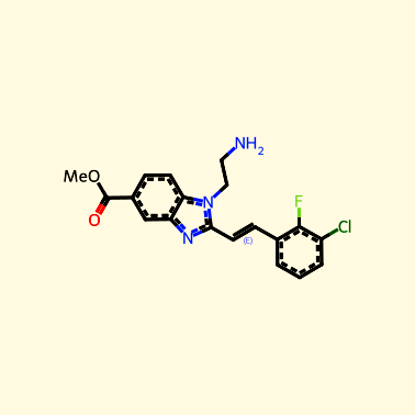 COC(=O)c1ccc2c(c1)nc(/C=C/c1cccc(Cl)c1F)n2CCN